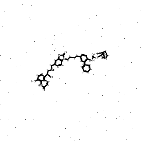 O=C(Nc1ccc(CCCCn2c(=O)oc3cc(CNCC(O)c4ccc(O)c5[nH]c(=O)ccc45)ccc32)cc1-c1ccccc1)O[C@H]1CN2CCC1CC2